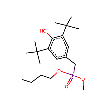 CCCCOP(=O)(Cc1cc(C(C)(C)C)c(O)c(C(C)(C)C)c1)OC